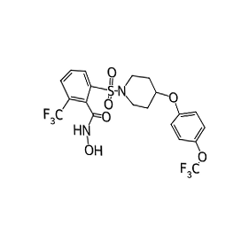 O=C(NO)c1c(C(F)(F)F)cccc1S(=O)(=O)N1CCC(Oc2ccc(OC(F)(F)F)cc2)CC1